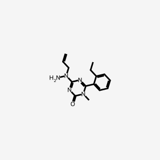 C=CCN(N)c1nc(-c2ccccc2CC)n(C)c(=O)n1